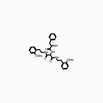 COc1ccccc1CCNC(=O)C(NC(=O)C(S)Cc1ccccc1)C(=O)NCCc1ccccc1OC